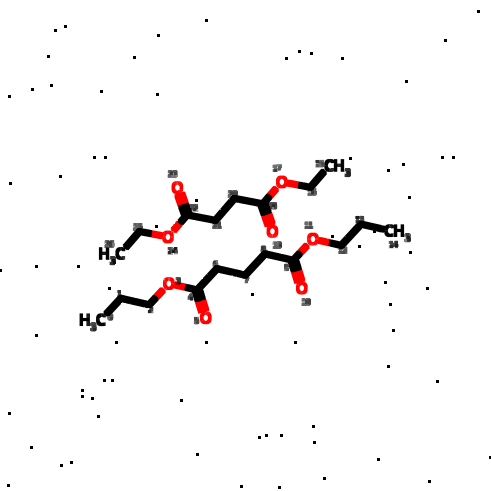 CCCOC(=O)CCCC(=O)OCCC.CCOC(=O)CCC(=O)OCC